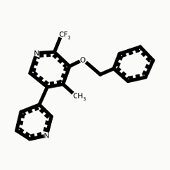 Cc1c(-c2cccnc2)cnc(C(F)(F)F)c1OCc1ccccc1